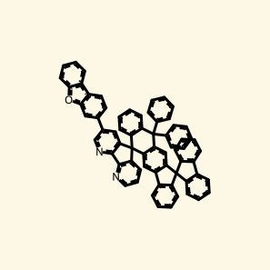 c1ccc(C2(c3ccccc3)c3ccccc3C3(c4cc5c(cc42)C2(c4ccccc4-c4ccccc42)c2ccccc2-5)c2cccnc2-c2ncc(-c4ccc5c(c4)oc4ccccc45)cc23)cc1